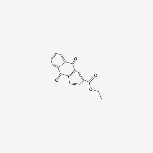 CCOC(=O)c1ccc2c(c1)C(=O)c1ccccc1C2=O